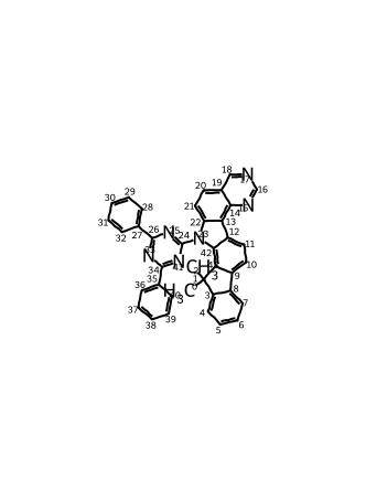 CC1(C)c2ccccc2-c2ccc3c4c5ncncc5ccc4n(-c4nc(-c5ccccc5)nc(-c5ccccc5)n4)c3c21